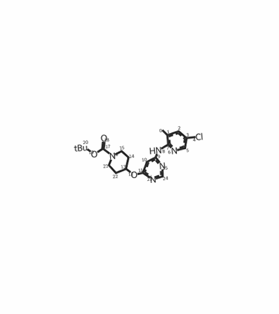 Cc1cc(Cl)cnc1Nc1cc(OC2CCN(C(=O)OC(C)(C)C)CC2)ncn1